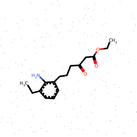 CCOC(=O)CC(=O)CCCc1cccc(CC)c1N